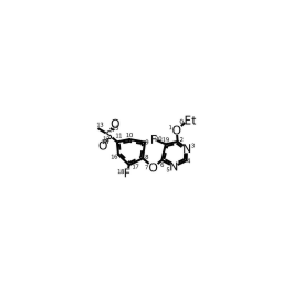 CCOc1ncnc(Oc2ccc(S(C)(=O)=O)cc2F)c1F